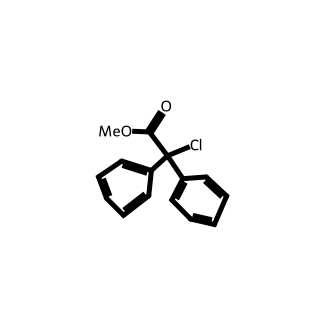 [CH2]OC(=O)C(Cl)(c1ccccc1)c1ccccc1